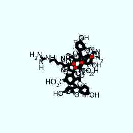 N=C(N)NCCC[C@H](N)C(=O)C(Cl)(C(=O)C(Cl)(C(=O)[C@@H](N)CCCNC(=N)N)c1cc(C(=O)O)cc2c1C(=O)OC21c2ccc(O)cc2Oc2cc(O)ccc21)c1cc(C(=O)O)cc2c1C(=O)OC21c2ccc(O)cc2Oc2cc(O)ccc21